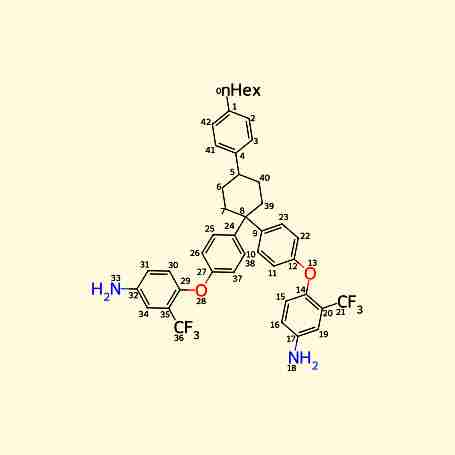 CCCCCCc1ccc(C2CCC(c3ccc(Oc4ccc(N)cc4C(F)(F)F)cc3)(c3ccc(Oc4ccc(N)cc4C(F)(F)F)cc3)CC2)cc1